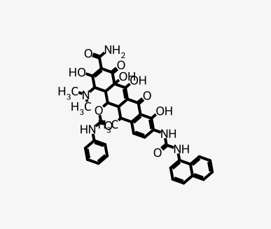 CC1c2ccc(NC(=O)Nc3cccc4ccccc34)c(O)c2C(=O)C2=C(O)C3(O)C(=O)C(C(N)=O)=C(O)C(N(C)C)C3C(OC(=O)Nc3ccccc3)C21